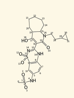 CS(=O)(=O)Nc1ccc2c(c1)S(=O)(=O)N=C(C1=C(O)C3CCCCCC3N(CCC3CC3)C1=O)N2